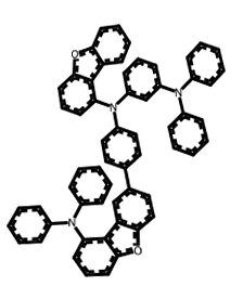 c1ccc(N(c2ccccc2)c2cccc(N(c3ccc(-c4ccc5oc6cccc(N(c7ccccc7)c7ccccc7)c6c5c4)cc3)c3cccc4oc5ccccc5c34)c2)cc1